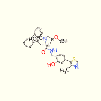 Cc1ncsc1-c1ccc(CNC(=O)[C@]2(CC3c4ccccc4-c4ccccc43)C[C@@H](OC(C)(C)C)CN2C(=O)O)c(O)c1